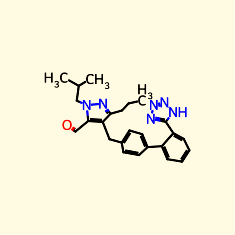 CCCc1nn(CC(C)C)c(C=O)c1Cc1ccc(-c2ccccc2-c2nnn[nH]2)cc1